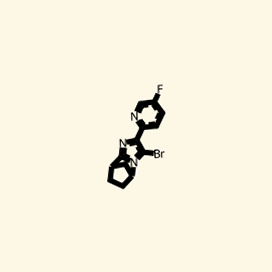 Fc1ccc(-c2nc3n(c2Br)C2CCC3C2)nc1